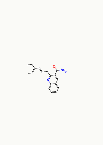 CC=C(C=CCc1nc2ccccc2cc1C(N)=O)CC